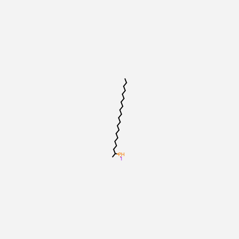 CCCCCCCCCCCCCCCCCCCC(C)PI